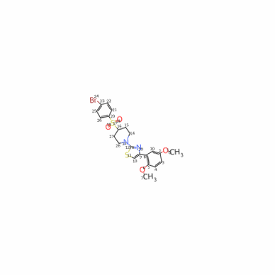 COc1ccc(OC)c(-c2csc(N3CCC(S(=O)(=O)c4ccc(Br)cc4)CC3)n2)c1